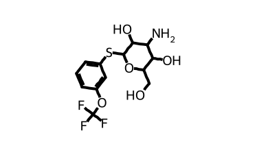 NC1C(O)C(CO)OC(Sc2cccc(OC(F)(F)F)c2)C1O